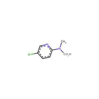 CN(C(=O)O)c1ccc(Br)cn1